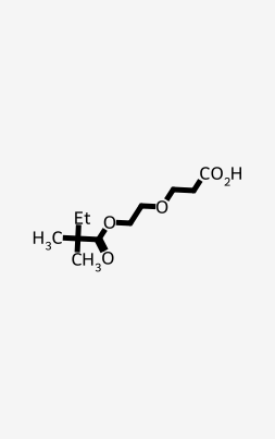 CCC(C)(C)C(=O)OCCOCCC(=O)O